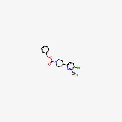 Cc1nc(C2CCN(C(=O)OCc3ccccc3)CC2)ccc1Br